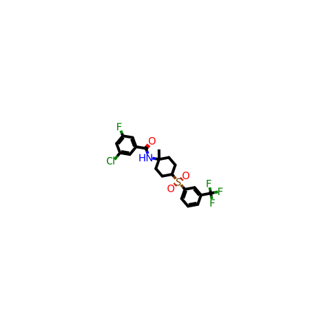 CC1(NC(=O)c2cc(F)cc(Cl)c2)CCC(S(=O)(=O)c2cccc(C(F)(F)F)c2)CC1